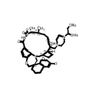 COCC(OC)N1CCN(C[C@]2(OC)/C=C/C[C@H](C)[C@@H](C)S(=O)(=O)NC(=O)c3ccc4c(c3)N(C[C@@H]3CC[C@H]32)C[C@@]2(CCCc3cc(Cl)ccc32)CO4)CC1